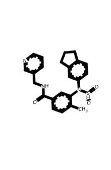 Cc1ccc(C(=O)NCc2cccnc2)cc1N(c1ccc2c(c1)CCC2)[SH](=O)=O